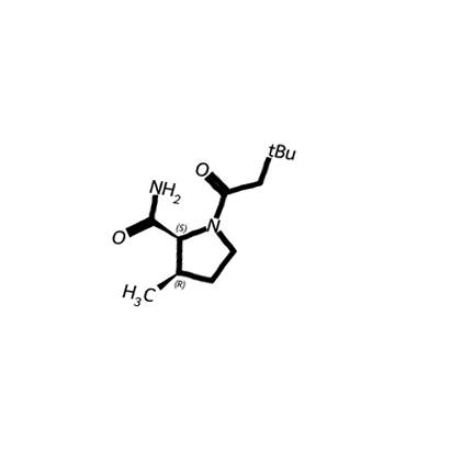 C[C@@H]1CCN(C(=O)CC(C)(C)C)[C@@H]1C(N)=O